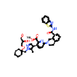 Cc1c(-c2ccc(N3CCc4cccc(C(=O)Nc5nc6ccccc6s5)c4C3)nc2C(=O)OC(C)(C)C)cnn1CC1(OCC(O)CO)CCCCC1